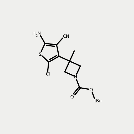 CC(C)(C)OC(=O)N1CC(C)(c2c(Cl)sc(N)c2C#N)C1